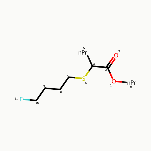 CCCOC(=O)C(CCC)SCCCCF